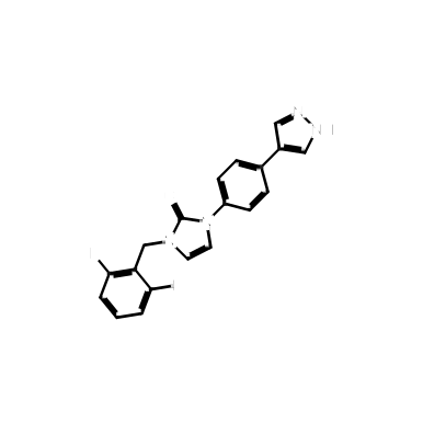 O=c1n(Cc2c(F)cccc2F)ccn1-c1ccc(-c2cn[nH]c2)cc1